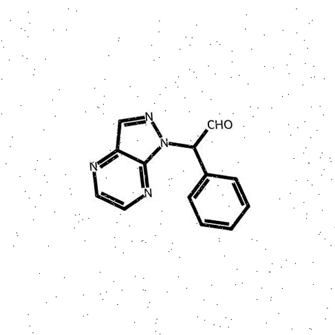 O=CC(c1ccccc1)n1ncc2nccnc21